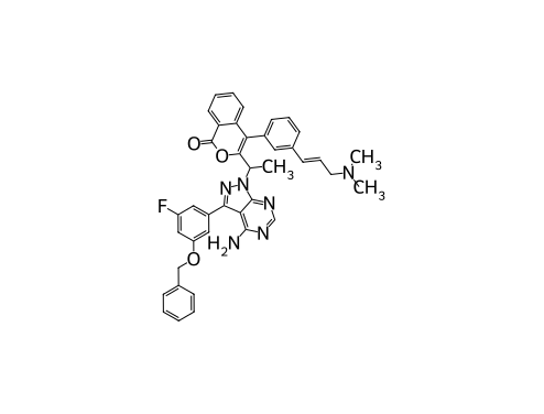 CC(c1oc(=O)c2ccccc2c1-c1cccc(/C=C/CN(C)C)c1)n1nc(-c2cc(F)cc(OCc3ccccc3)c2)c2c(N)ncnc21